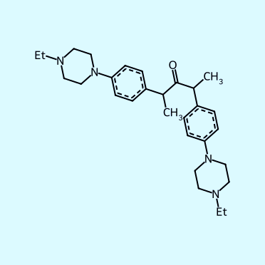 CCN1CCN(c2ccc(C(C)C(=O)C(C)c3ccc(N4CCN(CC)CC4)cc3)cc2)CC1